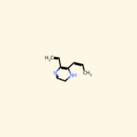 C=CC1=C(/C=C\C)NCC=N1